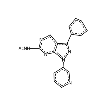 CC(=O)Nc1ncc2c(-c3ccccc3)nn(-c3cccnc3)c2n1